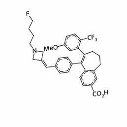 COc1ccc(C(F)(F)F)c(C2=C(c3ccc(C=C4CN(CCCCF)C4)cc3)c3ccc(C(=O)O)cc3CCC2)c1